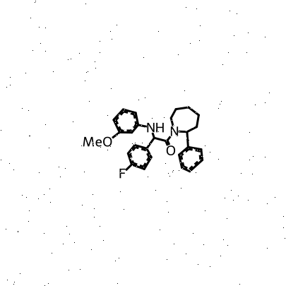 COc1cccc(NC(C(=O)N2CCCCCC2c2ccccc2)c2ccc(F)cc2)c1